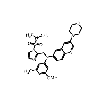 COc1cc(C)cc(N(Cc2nccn2S(=O)(=O)N(C)C)c2ccc3ncc(N4CCOCC4)cc3c2)c1